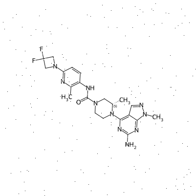 Cc1nc(N2CC(F)(F)C2)ccc1NC(=O)N1CCN(c2nc(N)nc3c2cnn3C)[C@@H](C)C1